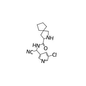 N#CC(NC(=O)C1CC2(CCCC2)CN1)c1cncc(Cl)c1